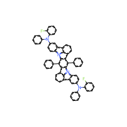 Fc1ccccc1N(c1ccccc1)c1ccc2c(c1)c1cccc3c4c(-c5ccccc5)c5c(c(-c6ccccc6)c4n2c13)c1cccc2c3cc(N(c4ccccc4)c4ccccc4F)ccc3n5c21